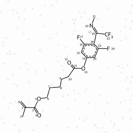 C=C(C)C(=O)OCCCCCC(=O)Oc1cc(F)c(/C(=N/C)C(F)(F)F)c(F)c1